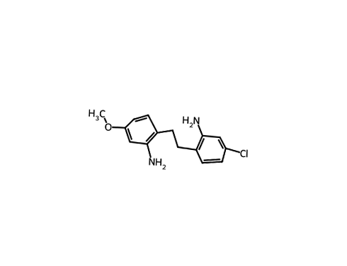 COc1ccc(CCc2ccc(Cl)cc2N)c(N)c1